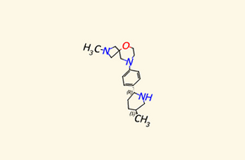 C[C@H]1CC[C@H](c2ccc(N3CCOC4(CN(C)C4)C3)cc2)NC1